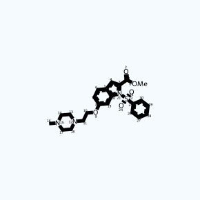 COC(=O)c1cc2ccc(OCCN3CCN(C)CC3)cc2n1S(=O)(=O)c1ccccc1